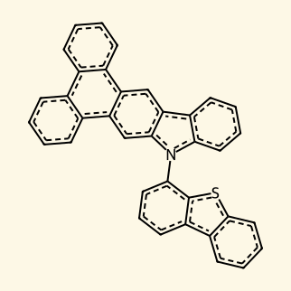 c1ccc2c(c1)sc1c(-n3c4ccccc4c4cc5c6ccccc6c6ccccc6c5cc43)cccc12